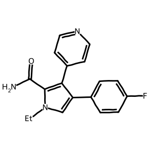 CCn1cc(-c2ccc(F)cc2)c(-c2ccncc2)c1C(N)=O